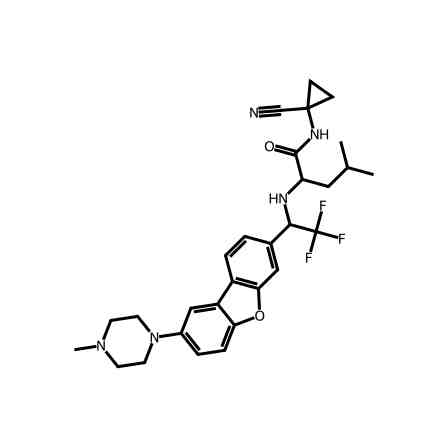 CC(C)CC(NC(c1ccc2c(c1)oc1ccc(N3CCN(C)CC3)cc12)C(F)(F)F)C(=O)NC1(C#N)CC1